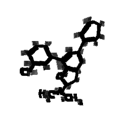 CN(C)C1Cc2cc(-c3ccccc3)cc(-c3cccc(Cl)c3)c2O1